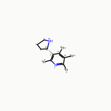 [2H]c1nc([2H])c([C@@H]2CCCN2)c([2H])c1[2H]